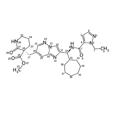 CCn1nccc1C(=O)N[C@H](c1cn2ncc(C[C@@]3(C(=O)OC)CCCNC3=O)cc2n1)C1CCCCCC1